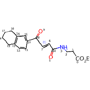 CCOC(=O)CCNC(=O)/C=C/C(=O)c1ccc2c(c1)CCCC2